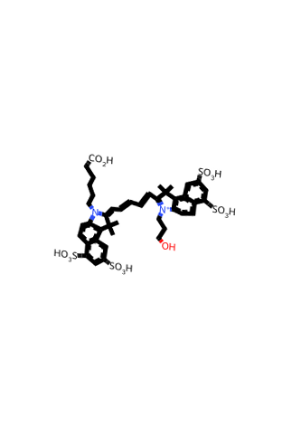 CC1(C)C(=CC=CC=CC2=[N+](CCCO)c3ccc4c(S(=O)(=O)O)cc(S(=O)(=O)O)cc4c3C2(C)C)N(CCCCCC(=O)O)c2ccc3c(S(=O)(=O)O)cc(S(=O)(=O)O)cc3c21